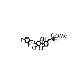 COCC(=O)NCc1ccc(F)c(-n2c(C)cc(OCc3ccc(F)cc3F)c(Cl)c2=O)c1